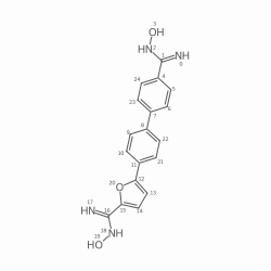 N=C(NO)c1ccc(-c2ccc(-c3ccc(C(=N)NO)o3)cc2)cc1